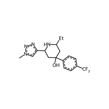 CCC1CC(O)(c2ccc(C(F)(F)F)cc2)CC(c2cn(C)nn2)N1